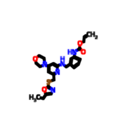 C=CCOC(=O)Nc1cccc(CNc2cc(N3CCOCC3)cc(CSc3ncc(CC)o3)n2)c1